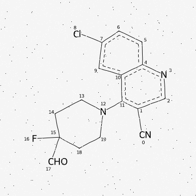 N#Cc1cnc2ccc(Cl)cc2c1N1CCC(F)(C=O)CC1